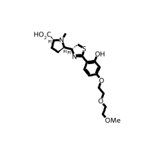 COCCOCCOc1ccc(C2=N[C@H]([C@H]3CC[C@H](C(=O)O)N3C)CS2)c(O)c1